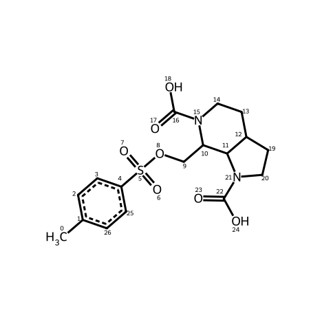 Cc1ccc(S(=O)(=O)OCC2C3C(CCN2C(=O)O)CCN3C(=O)O)cc1